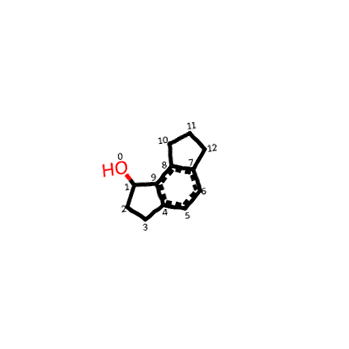 OC1CCc2ccc3c(c21)CCC3